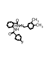 Cc1ccc(C=NNC(=O)c2ccccc2NC(=O)c2ccc(F)cc2)cc1C